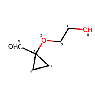 O=CC1(OCCO)CC1